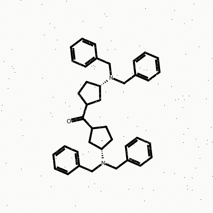 O=C(C1CC[C@H](N(Cc2ccccc2)Cc2ccccc2)C1)C1CC[C@H](N(Cc2ccccc2)Cc2ccccc2)C1